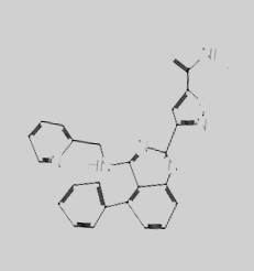 NC(=O)c1cc(-c2nc(NCc3ccccn3)c3c(-c4ccccc4)cccc3n2)no1